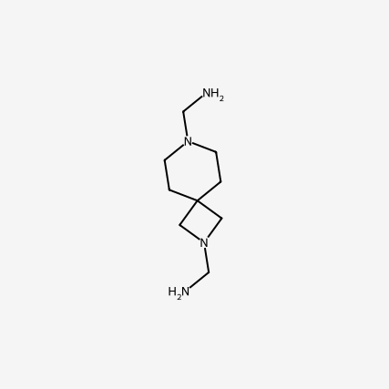 NCN1CCC2(CC1)CN(CN)C2